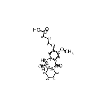 COc1cc2c(cc1OCCCC(=O)O)NC(=O)[C@@H]1CCCCN1C2=O